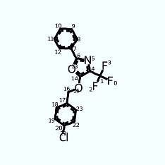 FC(F)(F)c1nc(-c2ccccc2)oc1OCc1ccc(Cl)cc1